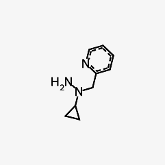 NN(Cc1ccccn1)C1CC1